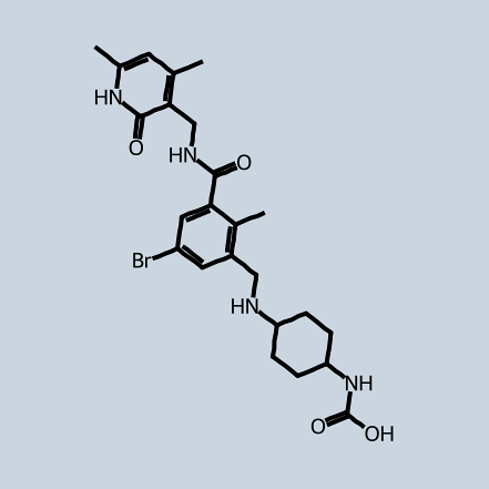 Cc1cc(C)c(CNC(=O)c2cc(Br)cc(CNC3CCC(NC(=O)O)CC3)c2C)c(=O)[nH]1